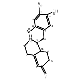 O=C1C=C2CCN[C@@H](Cc3cc(O)c(O)cc3Br)C2CC1